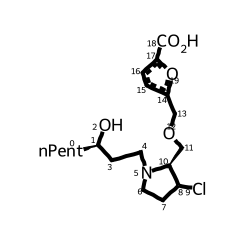 CCCCC[C@@H](O)CCN1CCC(Cl)[C@@H]1COCc1ccc(C(=O)O)o1